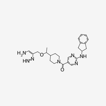 CC(OC/C(=C/N)N=N)C1CCN(C(=O)c2cnc(NC3Cc4ccccc4C3)nc2)CC1